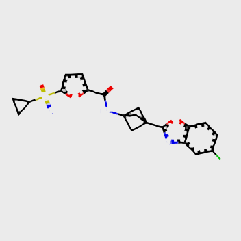 N=S(=O)(c1ccc(C(=O)NC23CC(c4nc5cc(Cl)ccc5o4)(C2)C3)o1)C1CC1